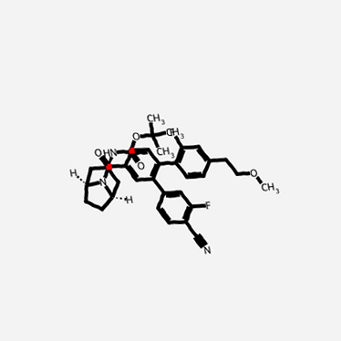 COCCc1ccc(-c2ccc(C(=O)N3[C@@H]4CC[C@H]3C[C@@H](NC(=O)OC(C)(C)C)C4)cc2-c2ccc(C#N)c(F)c2)c(F)c1